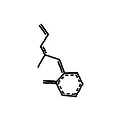 C=C/C=C(C)\C=c1\ccccc1=C